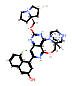 Oc1cc(-c2cc3nc(OC[C@@]45CCCN4C[C@H](F)C5)nc4c3c(n2)OC[C@H]2C3CCCC(CN3)N42)c2c(F)cccc2c1